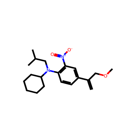 C=C(COC)c1ccc(N(CC(C)C)C2CCCCC2)c([N+](=O)[O-])c1